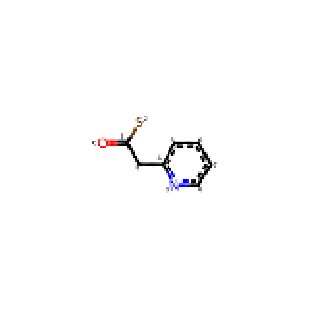 O=C([S])Cc1ccccn1